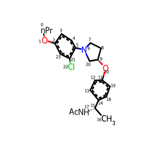 CCCOc1ccc(N2CC[C@@H](Oc3ccc([C@H](C)NC(C)=O)cc3)C2)c(Cl)c1